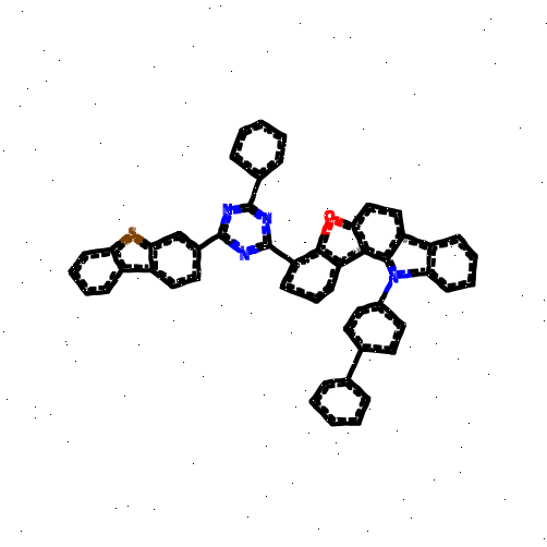 c1ccc(-c2ccc(-n3c4ccccc4c4ccc5oc6c(-c7nc(-c8ccccc8)nc(-c8ccc9c(c8)sc8ccccc89)n7)cccc6c5c43)cc2)cc1